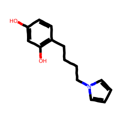 Oc1ccc(CCCCn2cccc2)c(O)c1